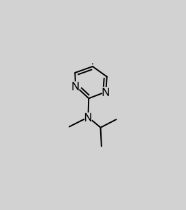 CC(C)N(C)c1nc[c]cn1